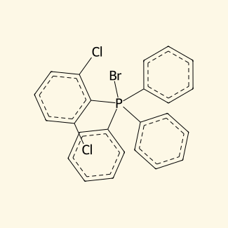 Clc1cccc(Cl)c1P(Br)(c1ccccc1)(c1ccccc1)c1ccccc1